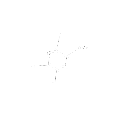 COc1cc(C)c(F)cc1I